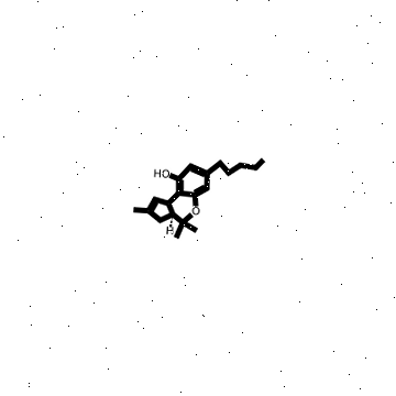 CCCCCc1cc(O)c2c(c1)OC(C)(C)[C@H]1CC(C)=CC21